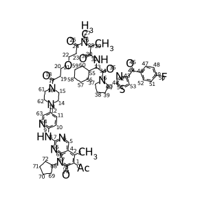 CC(=O)c1c(C)c2cnc(Nc3ccc(N4CCN(C(=O)CCOCCC(=O)N(C)C(C)C(=O)NC(C(=O)N5CCC[C@H]5c5nc(C(=O)c6ccc(F)cc6)cs5)C5CCCCC5)CC4)cn3)nc2n(C2CCCC2)c1=O